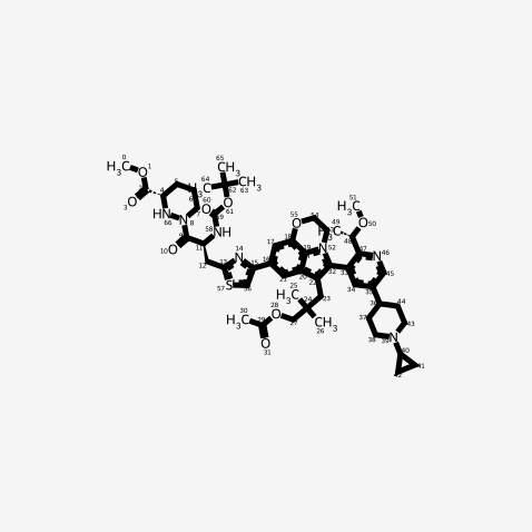 COC(=O)[C@@H]1CCCN(C(=O)[C@H](Cc2nc(-c3cc4c5c(c3)c(CC(C)(C)COC(C)=O)c(-c3cc(C6CCN(C7CC7)CC6)cnc3[C@H](C)OC)n5CCO4)cs2)NC(=O)OC(C)(C)C)N1